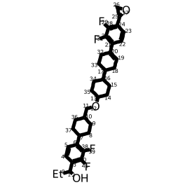 CCC(O)c1ccc(C2CCC(COC3CCC(C4CC=C(c5ccc(C6CO6)c(F)c5F)CC4)CC3)CC2)c(F)c1F